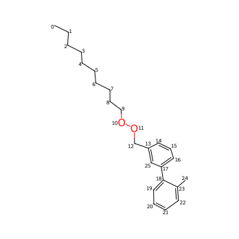 CCCCCCCCCCOOCc1cccc(-c2ccccc2C)c1